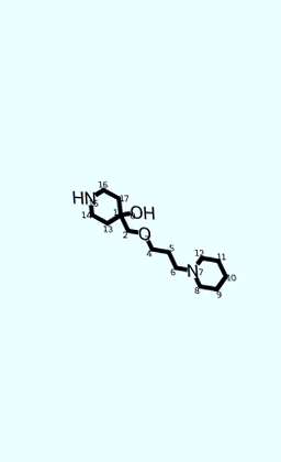 OC1(COCCCN2CCCCC2)CCNCC1